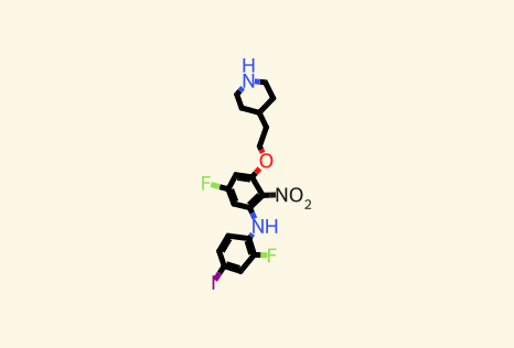 O=[N+]([O-])c1c(Nc2ccc(I)cc2F)cc(F)cc1OCCC1CCNCC1